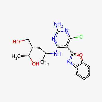 CC(C[C@H](CO)[C@H](C)O)Nc1nc(N)nc(Cl)c1-c1nc2ccccc2o1